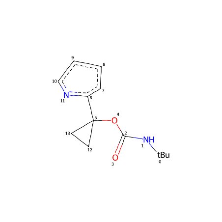 CC(C)(C)NC(=O)OC1(c2ccccn2)CC1